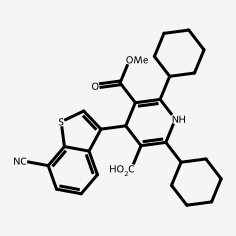 COC(=O)C1=C(C2CCCCC2)NC(C2CCCCC2)=C(C(=O)O)C1c1csc2c(C#N)cccc12